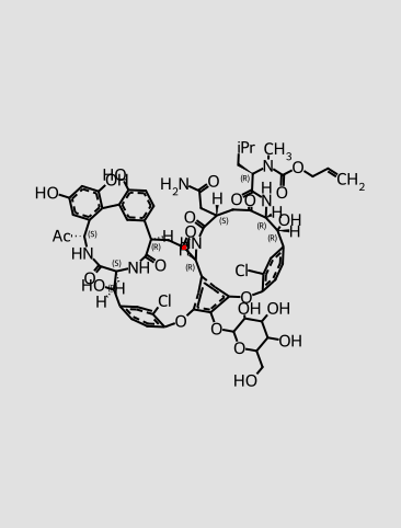 C=CCOC(=O)N(C)[C@H](CC(C)C)C(=O)N[C@H]1C(=O)C[C@@H](CC(N)=O)C(=O)N[C@H]2C(=O)C[C@H]3C(=O)N[C@H](C(=O)N[C@H](C(C)=O)c4cc(O)cc(O)c4-c4cc3ccc4O)[C@H](O)c3ccc(c(Cl)c3)Oc3cc2cc(c3OC2OC(CO)C(O)C(O)C2O)Oc2ccc(cc2Cl)[C@H]1O